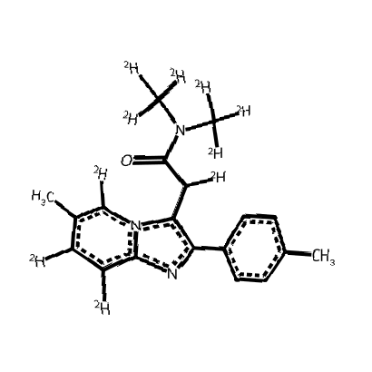 [2H]c1c(C)c([2H])n2c(C([2H])C(=O)N(C([2H])([2H])[2H])C([2H])([2H])[2H])c(-c3ccc(C)cc3)nc2c1[2H]